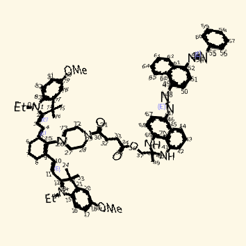 CCN1/C(=C/C=C2\CCCC(/C=C/C3=[N+](CC)c4ccc(OC)cc4C3(C)C)=C2N2CCN(C(=O)CCC(=O)OCC3(C)Nc4cccc5c(/N=N/c6ccc(/N=N/c7ccccc7)c7ccccc67)ccc(c45)N3)CC2)C(C)(C)c2cc(OC)ccc21